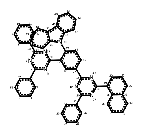 c1ccc(-c2nc(-c3ccccc3)nc(-c3cc(-c4nc(-c5ccccc5)nc(-c5cccc6ccccc56)n4)ccc3-n3c4ccccc4c4ccccc43)n2)cc1